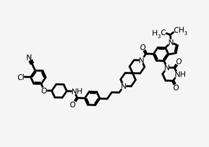 CC(C)n1ccc2c(N3CCC(=O)NC3=O)cc(C(=O)N3CCC4(CCN(CCCc5ccc(C(=O)NC6CCC(Oc7ccc(C#N)c(Cl)c7)CC6)cc5)CC4)CC3)cc21